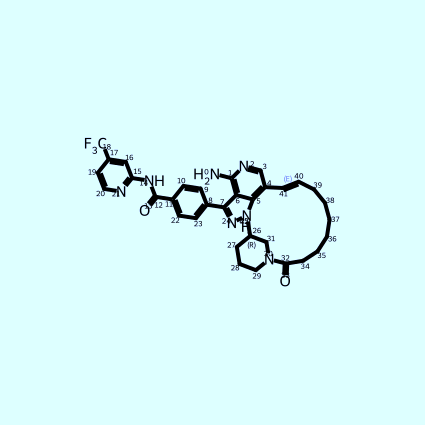 Nc1ncc2c3c1c(-c1ccc(C(=O)Nc4cc(C(F)(F)F)ccn4)cc1)nn3[C@@H]1CCCN(C1)C(=O)CCCCCC/C=C/2